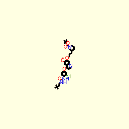 COc1cc2c(Oc3ccc(NC(=O)NCCC(C)(C)C)c(Cl)c3)ccnc2cc1OCCCC1CCCN(C(=O)OC(C)(C)C)C1